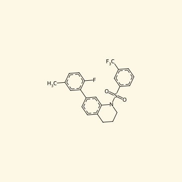 Cc1ccc(F)c(-c2ccc3c(c2)N(S(=O)(=O)c2cccc(C(F)(F)F)c2)CCC3)c1